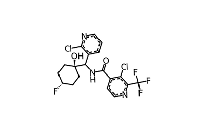 O=C(NC(c1cccnc1Cl)[C@]1(O)CC[C@H](F)CC1)c1ccnc(C(F)(F)F)c1Cl